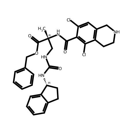 C[C@](CNC(=O)N[C@@H]1CCc2ccccc21)(NC(=O)c1c(Cl)cc2c(c1Cl)CCNC2)C(=O)OCc1ccccc1